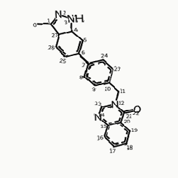 CC1=NNC2C=C(c3ccc(Cn4cnc5ccccc5c4=O)cc3)C=CC12